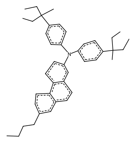 CCCCc1ccc2c(ccc3cc(N(c4ccc(C(C)(CC)CC)cc4)c4ccc(C(C)(CC)CC)cc4)ccc32)c1